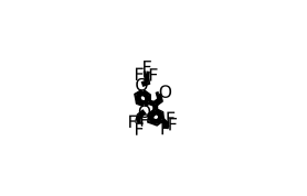 O=CC=C(c1cccc(C(F)(F)F)c1)c1cc(OCC(F)(F)F)ccc1OCC(F)(F)F